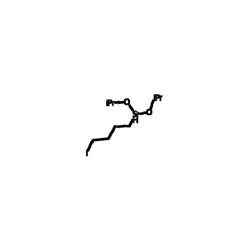 CC(C)O[SiH](CCCCI)OC(C)C